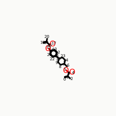 C=C(C)C(=O)OCC1CCC(c2ccc(OC(=O)C(=C)C)cc2)CC1